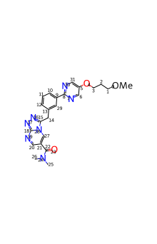 COCCCOc1cnc(-c2cccc(Cc3nnc4ncc(C(=O)N(C)C)cn34)c2)nc1